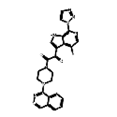 O=C(C(=O)N1CCN(c2nncc3ccccc23)CC1)c1c[nH]c2c(-n3ccnn3)ncc(F)c12